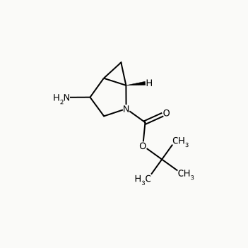 CC(C)(C)OC(=O)N1CC(N)C2C[C@@H]21